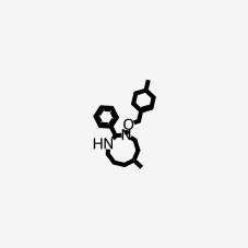 CC1CC=C(CON2CCC(C)CCCNC2c2ccccc2)CC1